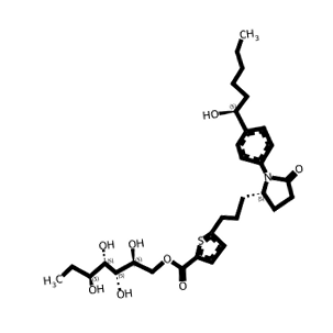 CCCCC[C@H](O)c1ccc(N2C(=O)CC[C@@H]2CCCc2ccc(C(=O)OC[C@H](O)[C@H](O)[C@@H](O)[C@@H](O)CC)s2)cc1